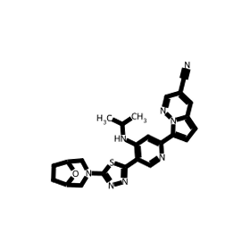 CC(C)Nc1cc(-c2ccc3cc(C#N)cnn23)ncc1-c1nnc(N2CC3CCC(C2)O3)s1